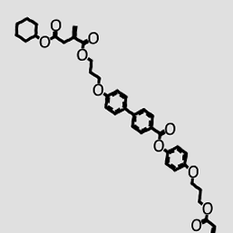 C=CC(=O)OCCCOc1ccc(OC(=O)c2ccc(-c3ccc(OCCCOC(=O)C(=C)CC(=O)OC4CCCCC4)cc3)cc2)cc1